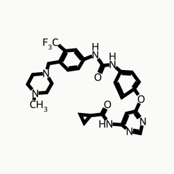 CN1CCN(Cc2ccc(NC(=O)Nc3ccc(Oc4cc(NC(=O)C5CC5)ncn4)cc3)cc2C(F)(F)F)CC1